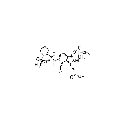 CC(C)(C)ON1NC(C=CC(=O)O)=c2c1ccc(NS(=O)(=O)c1ccccc1S(C)(=O)=O)c2=C=O